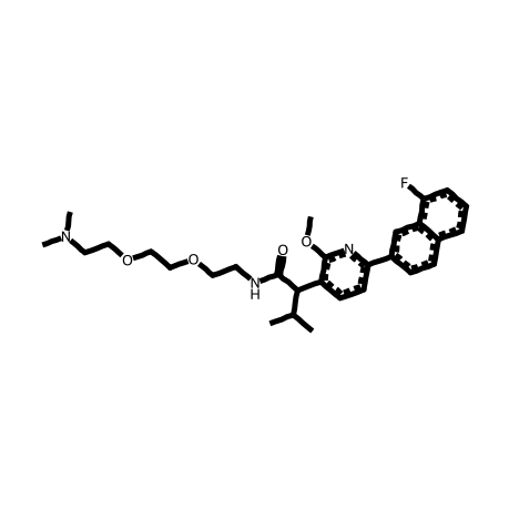 COc1nc(-c2ccc3cccc(F)c3c2)ccc1C(C(=O)NCCOCCOCCN(C)C)C(C)C